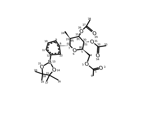 CC(=O)OC[C@H]1O[C@H](c2cccc(B3OC(C)(C)C(C)(C)O3)c2)[C@@H](C)[C@@H](OC(C)=O)[C@@H]1OC(C)=O